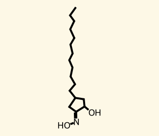 CCCCCCCCCCCCC1CC(=NO)C(O)C1